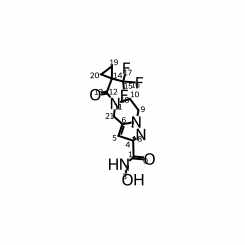 O=C(NO)c1cc2n(n1)CCN(C(=O)C1(C(F)(F)F)CC1)C2